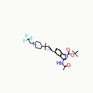 CC(=O)Nc1cn(C(=O)OC(C)(C)C)c2ccc(/C=C/C(C)(C)C3CCN(CC(F)(F)F)CC3)cc12